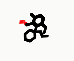 CCCC1(c2c(CC)ccc(C)c2CO)CCCCC1